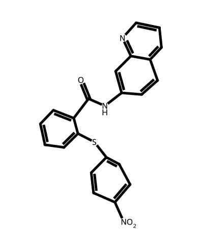 O=C(Nc1ccc2cccnc2c1)c1ccccc1Sc1ccc([N+](=O)[O-])cc1